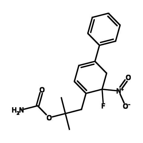 CC(C)(CC1=CC=C(c2ccccc2)CC1(F)[N+](=O)[O-])OC(N)=O